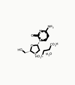 Nc1ccn([C@@H]2CS[C@H](CO)O2)c(=O)n1.O.O=C(O)CCC(=O)O